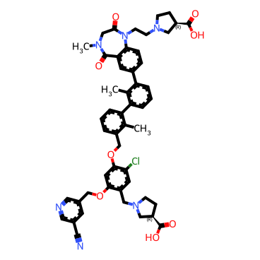 Cc1c(COc2cc(OCc3cncc(C#N)c3)c(CN3CC[C@@H](C(=O)O)C3)cc2Cl)cccc1-c1cccc(-c2ccc3c(c2)C(=O)N(C)CC(=O)N3CCN2CC[C@@H](C(=O)O)C2)c1C